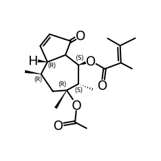 CC(=O)O[C@]1(C)C[C@@H](C)[C@@H]2C=CC(=O)C2[C@@H](OC(=O)C(C)=C(C)C)[C@@H]1C